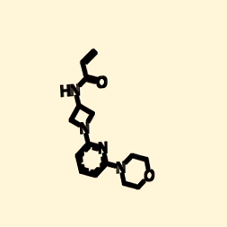 C=CC(=O)NC1CN(c2cccc(N3CCOCC3)n2)C1